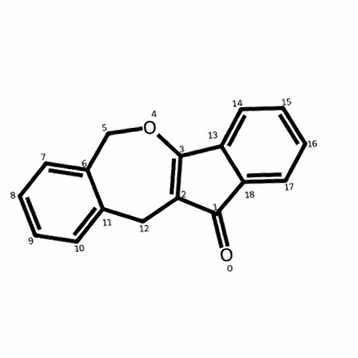 O=C1C2=C(OCc3ccccc3C2)c2ccccc21